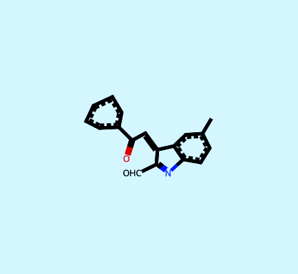 Cc1ccc2c(c1)C(=CC(=O)c1ccccc1)C(C=O)=N2